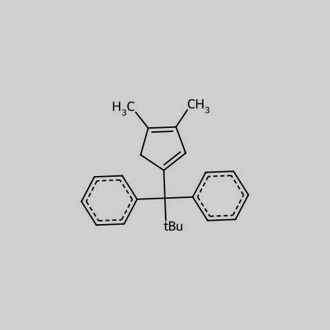 CC1=C(C)CC(C(c2ccccc2)(c2ccccc2)C(C)(C)C)=C1